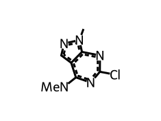 CNc1nc(Cl)nc2c1cnn2C